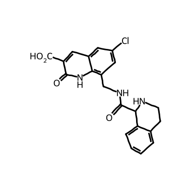 O=C(O)c1cc2cc(Cl)cc(CNC(=O)C3NCCc4ccccc43)c2[nH]c1=O